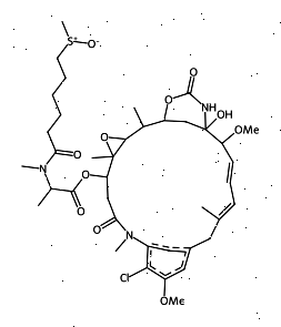 COc1cc2cc(c1Cl)N(C)C(=O)CC(OC(=O)C(C)N(C)C(=O)CCCCC[S+](C)[O-])C1(C)OC1C(C)C1CC(O)(NC(=O)O1)C(OC)/C=C/C=C(\C)C2